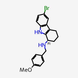 COc1ccc(CN[C@@H]2CCCc3c2[nH]c2ccc(Br)cc32)cc1